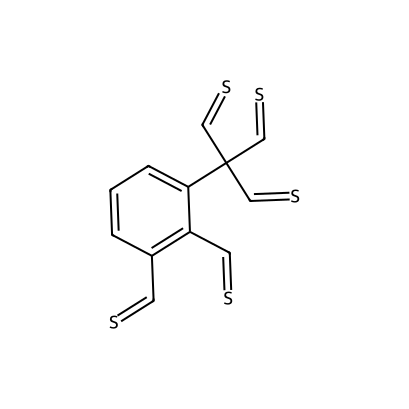 S=Cc1cccc(C(C=S)(C=S)C=S)c1C=S